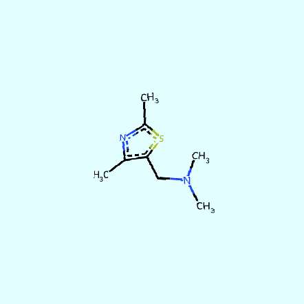 Cc1nc(C)c(CN(C)C)s1